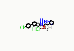 Cl.NC(Cc1ccccc1)C(=O)NC1(C(=O)O)Cc2ccc(-c3ccc(Cl)cc3)cc2C1